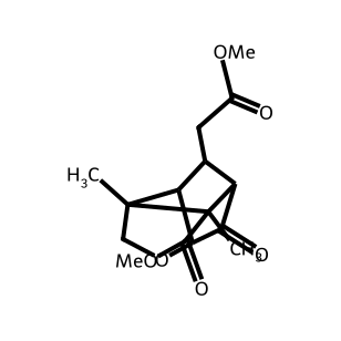 COC(=O)CC1C2C3OCC2(C)C(C)(C(=O)OC)C1C3=O